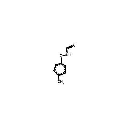 Cc1ccc(ONC=S)cc1